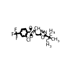 CN(Cc1nnc(C(C)(C)C)o1)S(=O)(=O)c1ccc(C(F)(F)F)cc1Cl